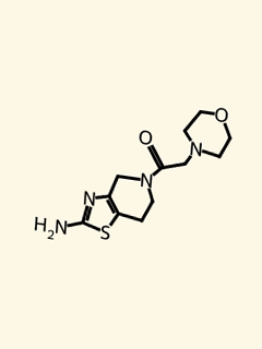 Nc1nc2c(s1)CCN(C(=O)CN1CCOCC1)C2